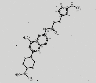 Cc1cc(N2CCC(N(C)C)CC2)nc2ccc(NC(=O)CCc3csc(OC(F)(F)F)c3)cc12